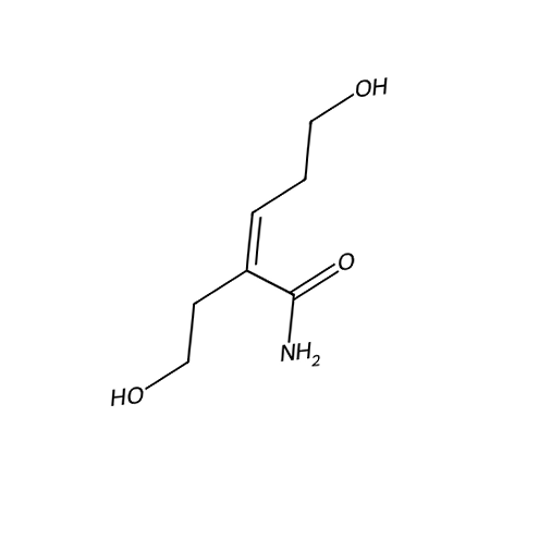 NC(=O)/C(=C\CCO)CCO